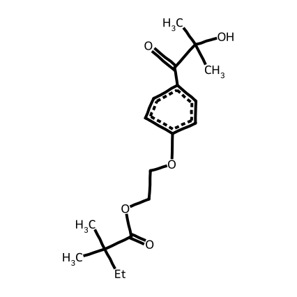 CCC(C)(C)C(=O)OCCOc1ccc(C(=O)C(C)(C)O)cc1